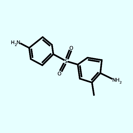 Cc1cc(S(=O)(=O)c2ccc(N)cc2)ccc1N